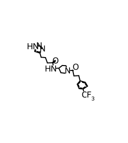 O=C(CCCc1c[nH]nn1)NC1CCN(C(=O)CCc2ccc(C(F)(F)F)cc2)CC1